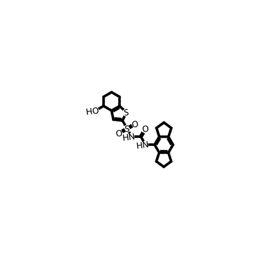 O=C(Nc1c2c(cc3c1CCC3)CCC2)NS(=O)(=O)c1cc2c(s1)CCCC2O